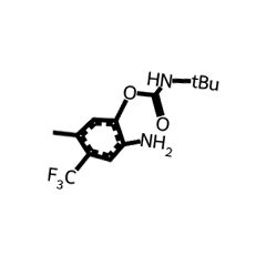 Cc1cc(OC(=O)NC(C)(C)C)c(N)cc1C(F)(F)F